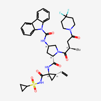 C=C[C@@H]1C[C@]1(NC(=O)[C@@H]1C[C@@H](NC(=O)n2c3ccccc3c3ccccc32)CN1C(=O)[C@@H](CC(=O)N1CCC(F)(F)CC1)C(C)(C)C)C(=O)NS(=O)(=O)C1CC1